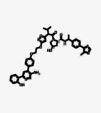 Cc1ncsc1-c1ccc(C(C)NC(=O)[C@@H]2C[C@@H](O)CN2C(=O)C(c2cc(OCCOc3ccc(-c4cc(-c5ccccc5O)nnc4N)cc3)no2)C(C)C)cc1